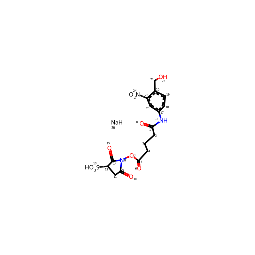 O=C(CCCC(=O)ON1C(=O)CC(S(=O)(=O)O)C1=O)Nc1ccc(CO)c([N+](=O)[O-])c1.[NaH]